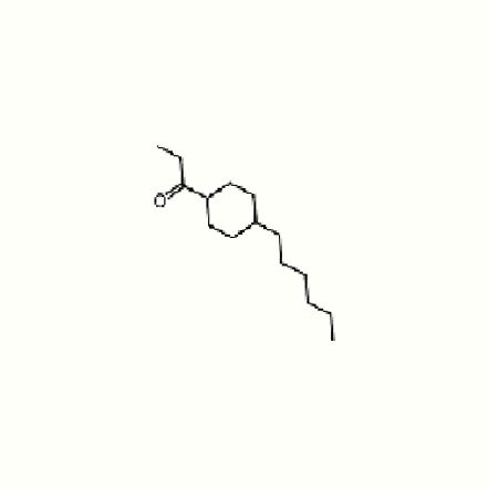 CCCCCCC1CCC(C(=O)CC)CC1